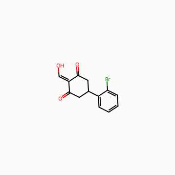 O=C1CC(c2ccccc2Br)CC(=O)C1=CO